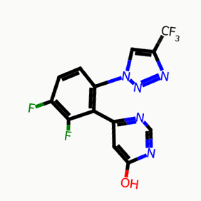 Oc1cc(-c2c(-n3cc(C(F)(F)F)nn3)ccc(F)c2F)ncn1